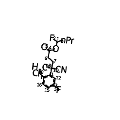 CCCC(F)OC(=O)CCC(C)(C#N)c1cc(F)ccc1Cl